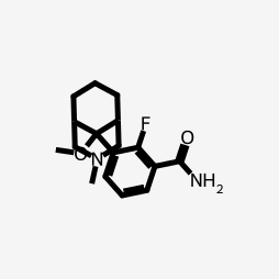 COC1(c2cccc(C(N)=O)c2F)C2CCCC1CN(C)C2